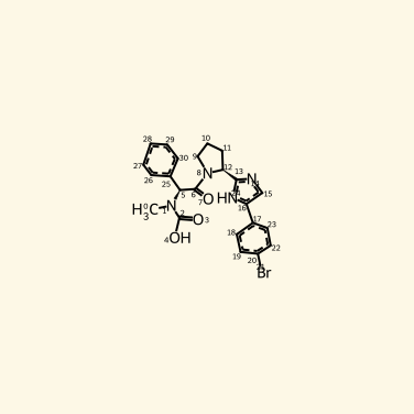 CN(C(=O)O)[C@H](C(=O)N1CCC[C@H]1c1ncc(-c2ccc(Br)cc2)[nH]1)c1ccccc1